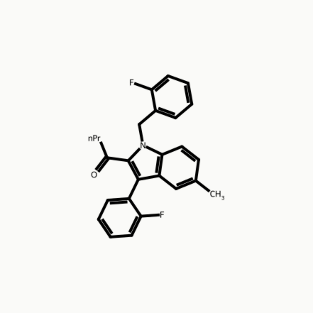 CCCC(=O)c1c(-c2ccccc2F)c2cc(C)ccc2n1Cc1ccccc1F